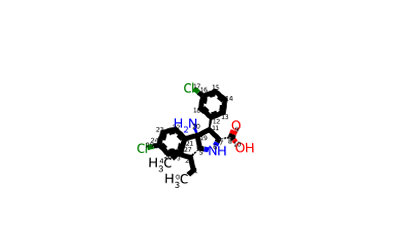 CCC(CC)[C@H]1N[C@@H](C(=O)O)[C@H](c2cccc(Cl)c2)[C@@]1(N)c1ccc(Cl)cc1